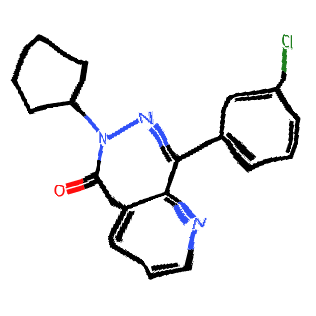 O=c1c2cccnc2c(-c2cccc(Cl)c2)nn1C1CCCC1